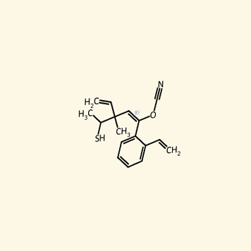 C=Cc1ccccc1/C(=C\C(C)(C=C)C(C)S)OC#N